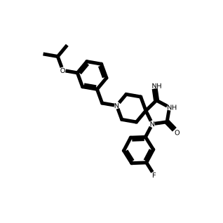 CC(C)Oc1cccc(CN2CCC3(CC2)C(=N)NC(=O)N3c2cccc(F)c2)c1